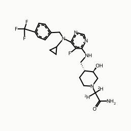 [2H]C([2H])(C(N)=O)N1CC[C@H](CNc2ncnc(N(Cc3ccc(C(F)(F)F)cc3)C3CC3)c2F)[C@@H](O)C1